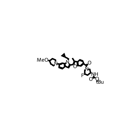 COC1CCN(c2ccc3cc(-c4oc5cc(C(=O)N6C[C@H](F)C[C@@H](NC(=O)OC(C)(C)C)C6)ccc5c4C)n(CC4CC4)c3c2)CC1